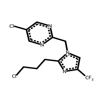 FC(F)(F)c1cn(Cc2ncc(Cl)cn2)c(CCCCl)n1